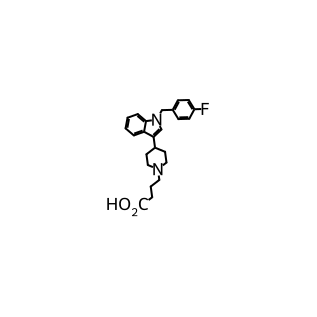 O=C(O)CCCN1CCC(c2cn(Cc3ccc(F)cc3)c3ccccc23)CC1